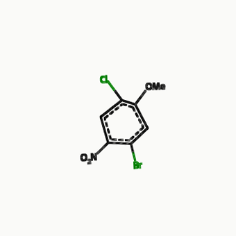 COc1cc(Br)c([N+](=O)[O-])cc1Cl